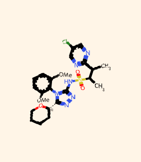 COc1cccc(OC)c1-n1c(NS(=O)(=O)C(C)C(C)c2ncc(Cl)cn2)nnc1[C@@H]1CCCCO1